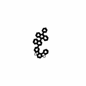 c1ccc(-c2c3ccccc3c(-c3ccc(-c4ccc5oc6ccc7oc8ccccc8c7c6c5c4)c4ccccc34)c3ccccc23)cc1